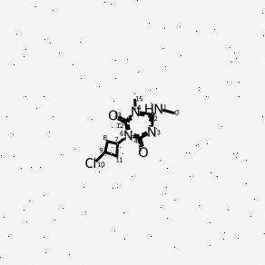 CNc1nc(=O)n(C2CC(Cl)C2)c(=O)n1C